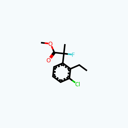 CCc1c(Cl)cccc1C(C)(F)C(=O)OC